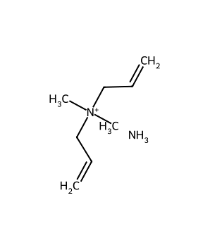 C=CC[N+](C)(C)CC=C.N